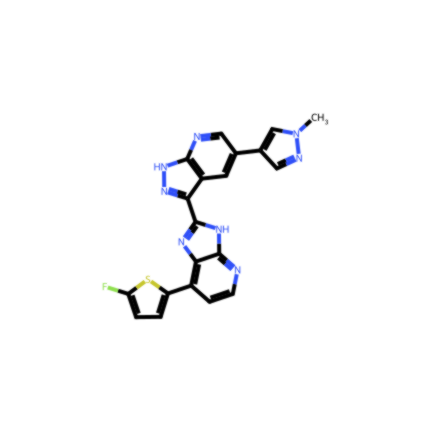 Cn1cc(-c2cnc3[nH]nc(-c4nc5c(-c6ccc(F)s6)ccnc5[nH]4)c3c2)cn1